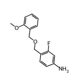 COc1ccccc1COCc1ccc(N)cc1F